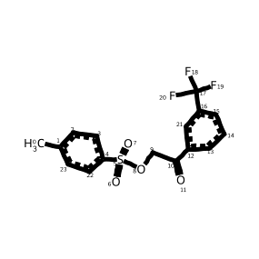 Cc1ccc(S(=O)(=O)OCC(=O)c2cccc(C(F)(F)F)c2)cc1